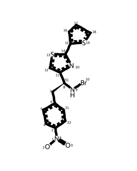 O=[N+]([O-])c1ccc(C[C@H](NBr)c2csc(-c3cccs3)n2)cc1